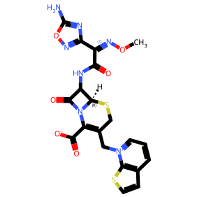 CO/N=C(\C(=O)NC1C(=O)N2C(C(=O)[O-])=C(C[n+]3cccc4ccsc43)CS[C@H]12)c1noc(N)n1